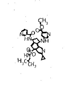 CCOC(=O)c1cncc(N[C@H]2C[C@H](NC(=O)c3cccnc3)c3cc(S(=O)(=O)NCC(C)C)c4cc(C5CC5)ncc4c32)c1